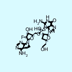 Nc1nc2c(nnn2[C@@H]2O[C@H](CCO)C[C@H]2P(O)(=S)OC[C@H]2O[C@@H](n3ccc4c(N)ncnc43)[C@@H](F)[C@@H]2O)c(=O)[nH]1